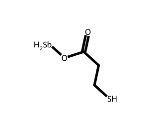 O=C(CCS)[O][SbH2]